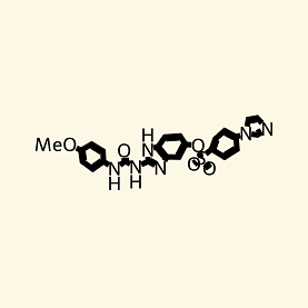 COc1ccc(NC(=O)Nc2nc3cc(OS(=O)(=O)c4ccc(-n5ccnc5)cc4)ccc3[nH]2)cc1